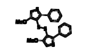 COc1csc(-c2ccccc2)c1SSc1c(OC)csc1-c1ccccc1